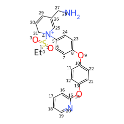 CCS(=O)(=O)[N+]1(c2ccc(Oc3ccc(Oc4ccccn4)cc3)cc2)C=C(CN)C=CC1